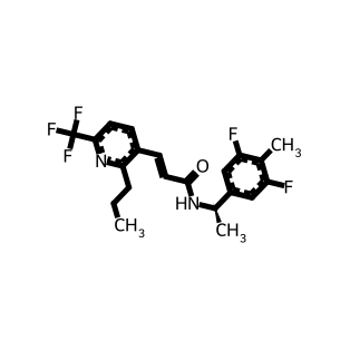 CCCc1nc(C(F)(F)F)ccc1/C=C/C(=O)N[C@H](C)c1cc(F)c(C)c(F)c1